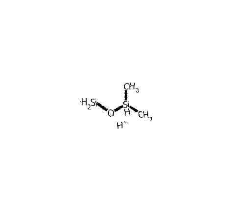 C[SiH](C)O[SiH2].[H+]